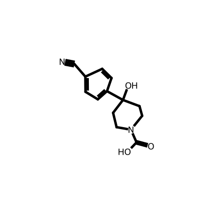 N#Cc1ccc(C2(O)CCN(C(=O)O)CC2)cc1